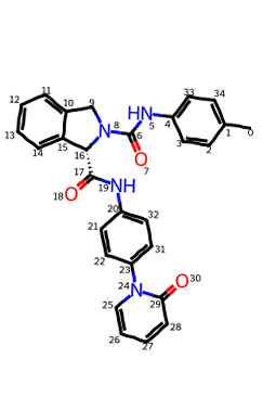 Cc1ccc(NC(=O)N2Cc3ccccc3[C@H]2C(=O)Nc2ccc(-n3ccccc3=O)cc2)cc1